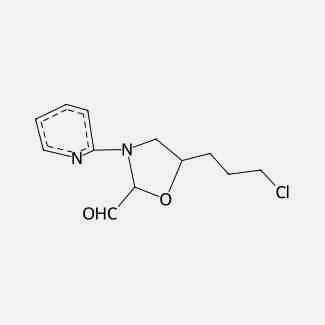 O=CC1OC(CCCCl)CN1c1ccccn1